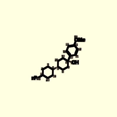 CCCC1CCC([C@H]2CC[C@](O)(c3ccc(OC)cc3)CC2)CC1